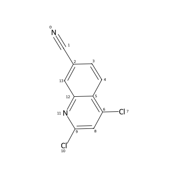 N#Cc1ccc2c(Cl)cc(Cl)nc2c1